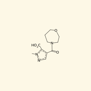 Cn1ncc(C(=O)N2CCCOCC2)c1C(=O)O